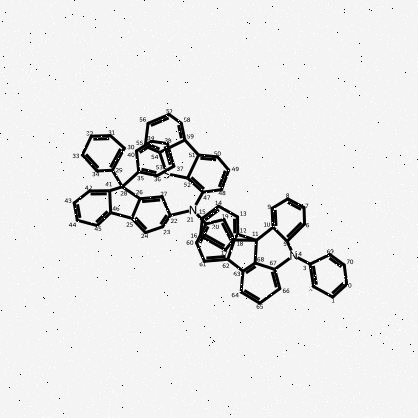 c1ccc(N2c3ccccc3C3(c4ccccc4)c4cc(N(c5ccc6c(c5)C(c5ccccc5)(c5ccccc5)c5ccccc5-6)c5cccc6c5sc5ccccc56)ccc4-c4cccc2c43)cc1